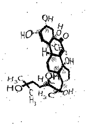 CC(C)(O)CC[C@@H](O)[C@@](C)(O)[C@H]1CC[C@@]2(O)C3=CC(=O)[C@]4(O)C[C@@H](O)[C@@H](O)C[C@]4(C)[C@H]3CC[C@]12C